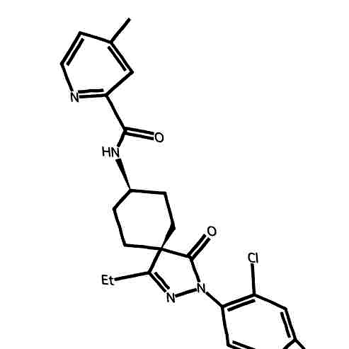 CCC1=NN(c2ccc(F)cc2Cl)C(=O)[C@]12CC[C@H](NC(=O)c1cc(C)ccn1)CC2